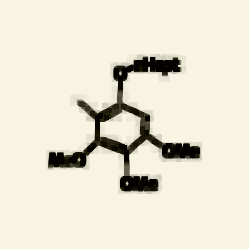 CCCCCCCOc1cc(OC)c(OC)c(OC)c1C